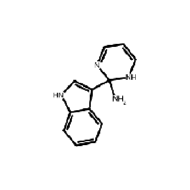 NC1(c2c[nH]c3ccccc23)N=CC=CN1